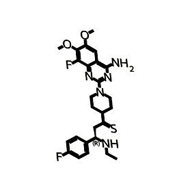 CCN[C@H](CC(=S)C1CCN(c2nc(N)c3cc(OC)c(OC)c(F)c3n2)CC1)c1ccc(F)cc1